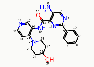 Nc1cnc(-c2ccccc2)nc1C(=O)Nc1cnccc1N1CCC(O)CC1